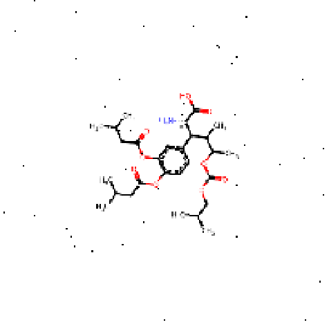 CC(C)COC(=O)OC(C)C(C)C(c1ccc(OC(=O)CC(C)C)c(OC(=O)CC(C)C)c1)[C@H](N)C(=O)O